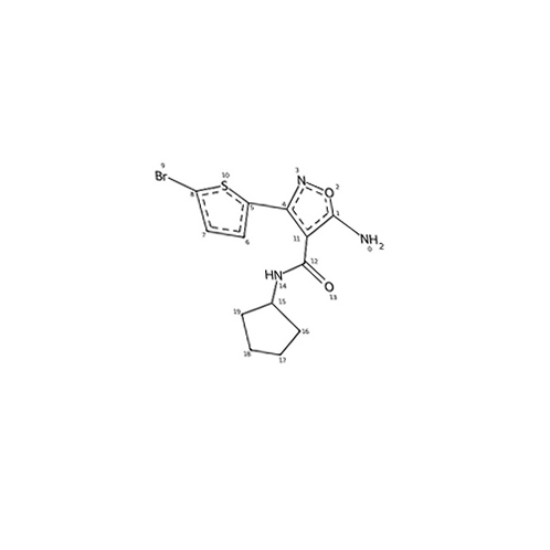 Nc1onc(-c2ccc(Br)s2)c1C(=O)NC1CCCC1